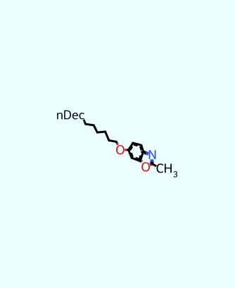 CCCCCCCCCCCCCCCCOc1ccc2nc(C)oc2c1